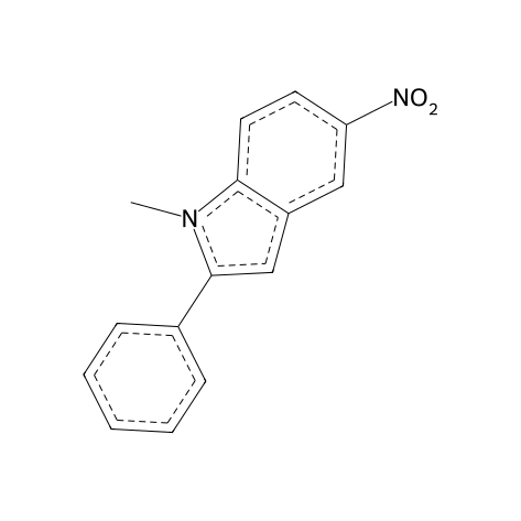 Cn1c(-c2ccccc2)cc2cc([N+](=O)[O-])ccc21